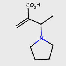 C=C(C(=O)O)C(C)N1CCCC1